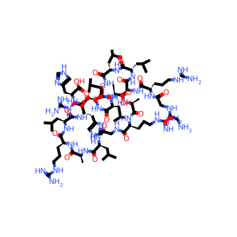 CC(C)C[C@H](NC(=O)CNC(=O)[C@H](CCCNC(=N)N)NC(=O)[C@H](C)NC(=O)[C@H](C)NC(=O)[C@H](CCCNC(=N)N)NC(=O)[C@H](CC(C)C)NC(=O)[C@@H](NC(=O)[C@H](CC(C)C)NC(=O)[C@H](CC(C)C)NC(=O)[C@H](CO)NC(=O)[C@H](CCCNC(=N)N)NC(=O)CNC(=O)CN)C(C)C)C(=O)N[C@@H](C)C(=O)N[C@@H](CCCNC(=N)N)C(=O)N[C@@H](CC(C)C)C(=O)N[C@@H](Cc1c[nH]cn1)C(=O)N[C@@H](Cc1c[nH]cn1)C(=O)O